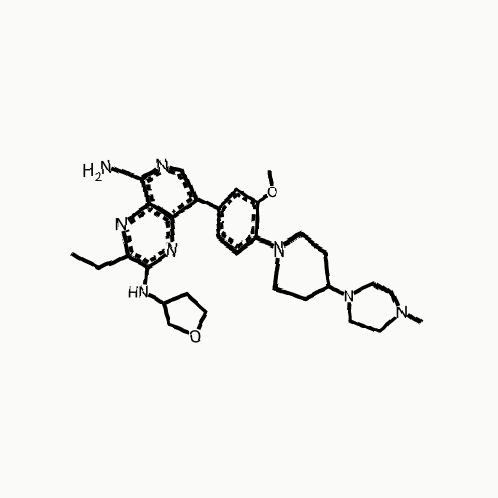 CCc1nc2c(N)ncc(-c3ccc(N4CCC(N5CCN(C)CC5)CC4)c(OC)c3)c2nc1NC1CCOC1